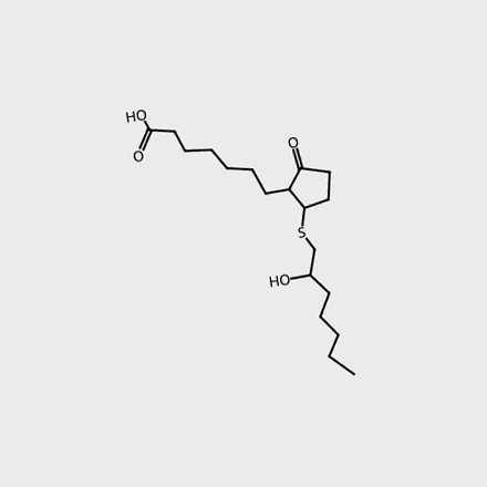 CCCCCC(O)CSC1CCC(=O)C1CCCCCCC(=O)O